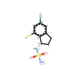 NS(=O)(=O)N[C@H]1CCc2cc(Cl)cc(F)c21